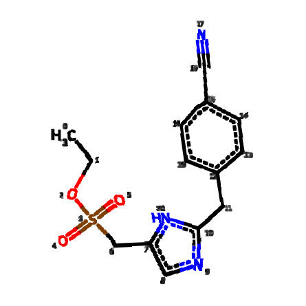 CCOS(=O)(=O)Cc1cnc(Cc2ccc(C#N)cc2)[nH]1